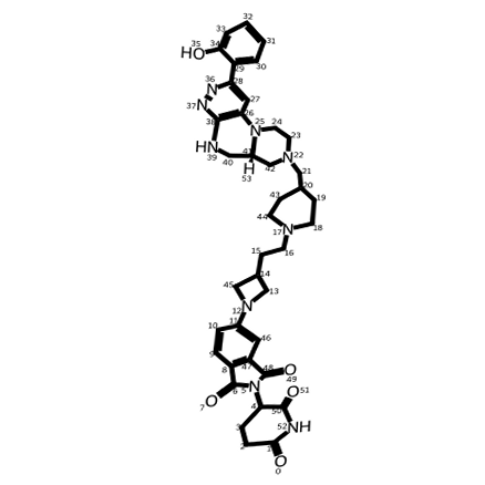 O=C1CCC(N2C(=O)c3ccc(N4CC(CCN5CCC(CN6CCN7c8cc(-c9ccccc9O)nnc8NC[C@H]7C6)CC5)C4)cc3C2=O)C(=O)N1